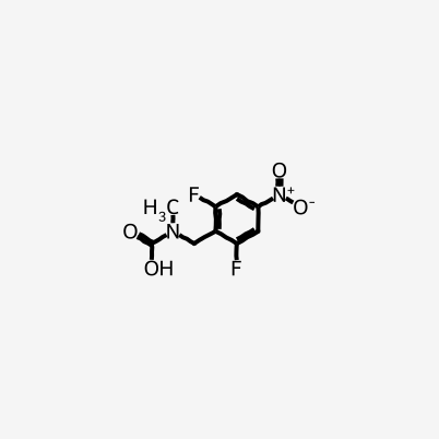 CN(Cc1c(F)cc([N+](=O)[O-])cc1F)C(=O)O